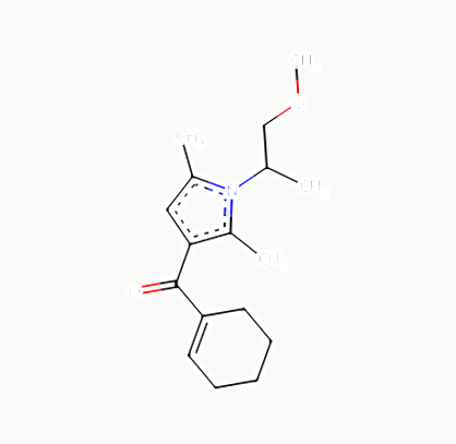 COCC(C)n1c(C)cc(C(=O)C2=CCCCC2)c1C